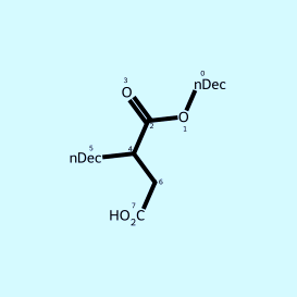 CCCCCCCCCCOC(=O)C(CCCCCCCCCC)CC(=O)O